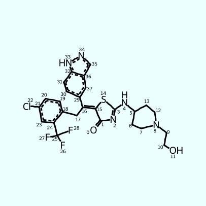 O=C1N=C(NC2CCN(CCO)CC2)SC1=C(Cc1ccc(Cl)cc1C(F)(F)F)c1ccc2[nH]ncc2c1